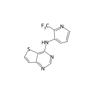 FC(F)(F)c1ncccc1Nc1ncnc2ccsc12